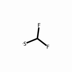 FC(F)[S]